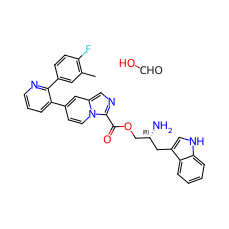 Cc1cc(-c2ncccc2-c2ccn3c(C(=O)OC[C@H](N)Cc4c[nH]c5ccccc45)ncc3c2)ccc1F.O=CO